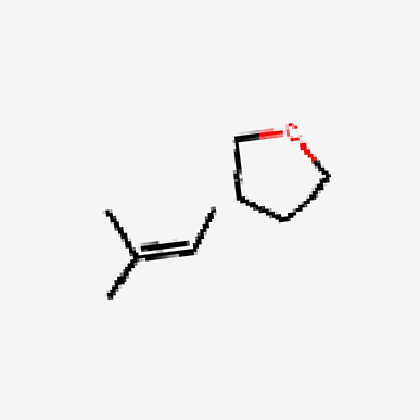 C1CCOC1.CC=C(C)C